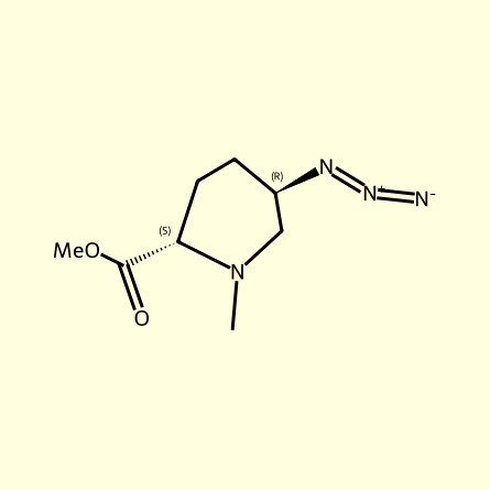 COC(=O)[C@@H]1CC[C@@H](N=[N+]=[N-])CN1C